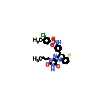 CCCCn1c(=O)[nH]c(=O)c2[nH]c([C@H](Cc3ccccc3F)c3ccc(NS(=O)(=O)c4ccc(C)c(Cl)c4)cc3)nc21